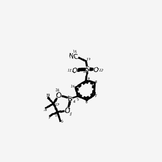 CC1(C)OB(c2cccc(S(=O)(=O)CC#N)c2)OC1(C)C